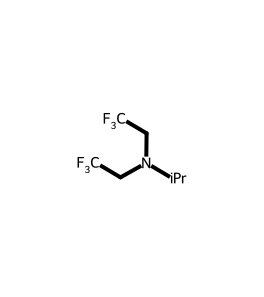 CC(C)N(CC(F)(F)F)CC(F)(F)F